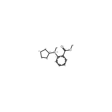 COC(=O)c1ccccc1N(C)C1CCCC1